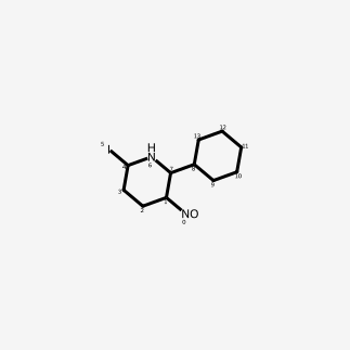 O=NC1CCC(I)NC1C1CCCCC1